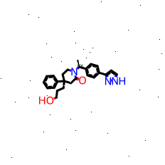 C[C@@H](c1ccc(-c2cc[nH]n2)cc1)N1CCC(CCCO)(c2ccccc2)CC1=O